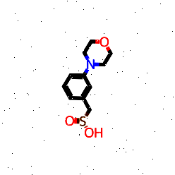 O=S(O)Cc1cccc(N2CCOCC2)c1